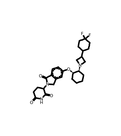 O=C1CCC(N2Cc3cc(O[C@@H]4CCCC[C@@H]4N4CC(C5CCC(F)(F)CC5)C4)ccc3C2=O)C(=O)N1